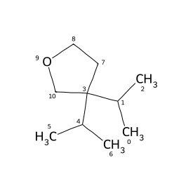 CC(C)C1(C(C)C)CCOC1